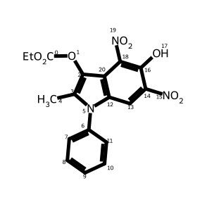 CCOC(=O)Oc1c(C)n(-c2ccccc2)c2cc([N+](=O)[O-])c(O)c([N+](=O)[O-])c12